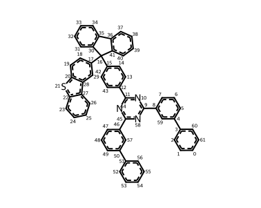 c1ccc(-c2cccc(-c3nc(-c4ccc(C5(c6ccc7sc8ccccc8c7c6)c6ccccc6-c6ccccc65)cc4)nc(-c4cccc(-c5ccccc5)c4)n3)c2)cc1